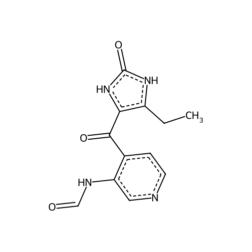 CCc1[nH]c(=O)[nH]c1C(=O)c1ccncc1NC=O